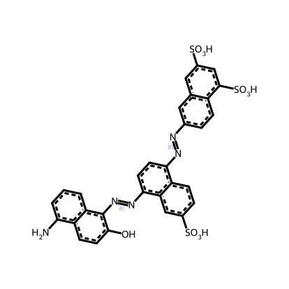 Nc1cccc2c(/N=N/c3ccc(/N=N/c4ccc5c(S(=O)(=O)O)cc(S(=O)(=O)O)cc5c4)c4ccc(S(=O)(=O)O)cc34)c(O)ccc12